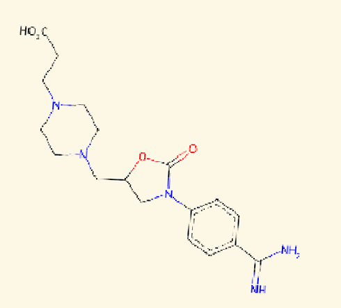 N=C(N)c1ccc(N2CC(CN3CCN(CCC(=O)O)CC3)OC2=O)cc1